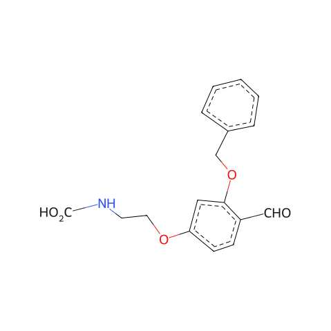 O=Cc1ccc(OCCNC(=O)O)cc1OCc1ccccc1